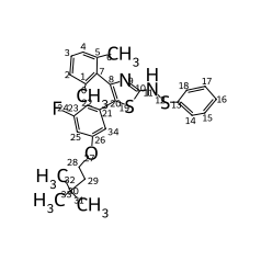 Cc1cccc(C)c1-c1nc(NSc2ccccc2)sc1-c1cc(F)cc(OCCC(C)(C)C)c1